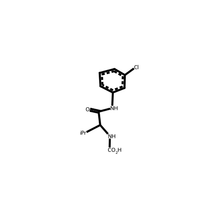 CC(C)C(NC(=O)O)C(=O)Nc1cccc(Cl)c1